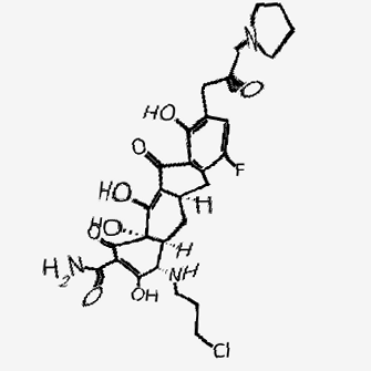 NC(=O)C1=C(O)[C@@H](NCCCCl)[C@@H]2C[C@@H]3Cc4c(F)cc(CC(=O)CN5CCCC5)c(O)c4C(=O)C3=C(O)[C@]2(O)C1=O